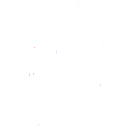 O=C1C(Nc2ccc(O)cc2)=CC(c2cc(F)cc(F)c2)N1c1ccc(O)cc1